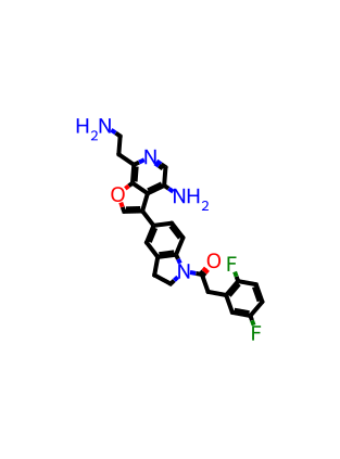 NCCc1ncc(N)c2c(-c3ccc4c(c3)CCN4C(=O)Cc3cc(F)ccc3F)coc12